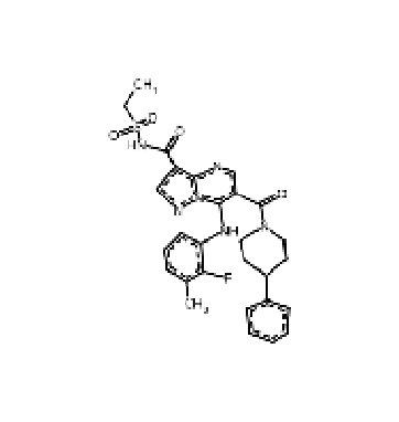 CCS(=O)(=O)NC(=O)c1cnn2c(Nc3cccc(C)c3F)c(C(=O)N3CCC(c4ccccc4)CC3)cnc12